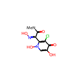 CNC(=O)C(=NO)c1c(Cl)c(=O)c(O)cn1O